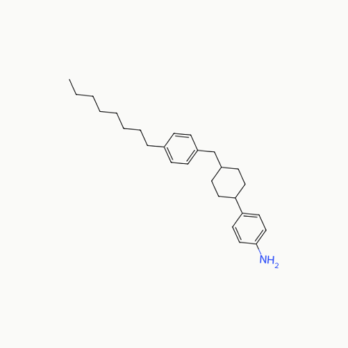 CCCCCCCCc1ccc(CC2CCC(c3ccc(N)cc3)CC2)cc1